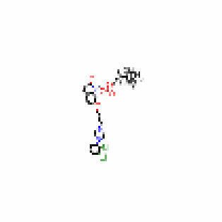 CCCC(C)(C)C(C)(C)CCOC(=O)OCn1c(=O)ccc2ccc(OCCCCN3CCN(c4cccc(Cl)c4Cl)CC3)cc21